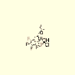 C=CC(C)OCC(O)Cc1c(F)c(F)c(F)c(F)c1F.OP(Cl)Cl